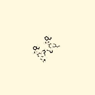 CC(C(=O)O)C1CCN(C(=O)C(CCn2cccc2C#N)NS(=O)(=O)c2cccc3[nH]ccc23)CC1.N#Cc1cccn1CCC(NS(=O)(=O)c1cccc2[nH]cc(Cl)c12)C(=O)N1CCn2cnnc2C1